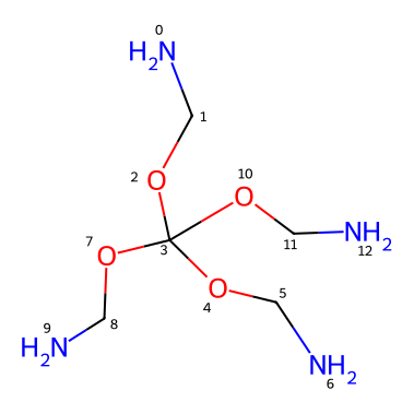 NCOC(OCN)(OCN)OCN